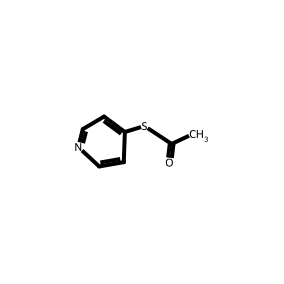 CC(=O)Sc1ccncc1